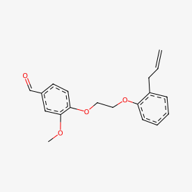 C=CCc1ccccc1OCCOc1ccc(C=O)cc1OC